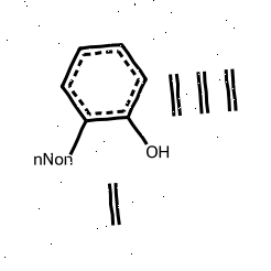 C=C.C=C.C=C.C=C.CCCCCCCCCc1ccccc1O